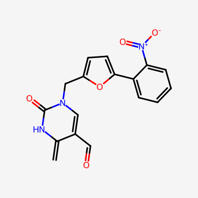 C=C1NC(=O)N(Cc2ccc(-c3ccccc3[N+](=O)[O-])o2)C=C1C=O